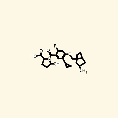 CC1CC2CCC2(COc2cc(F)c(C(=O)N3C(C)CCC3C(=O)O)cc2C2CC2)C1